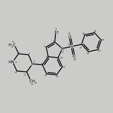 CCc1cc2c(N3CC(C)NCC3C)cccc2n1S(=O)(=O)c1ccccc1